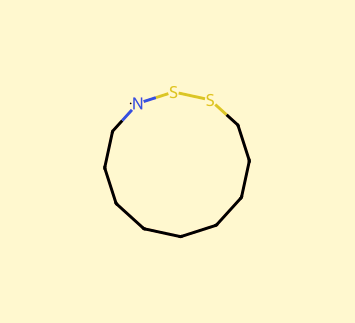 C1CCCC[N]SSCCCC1